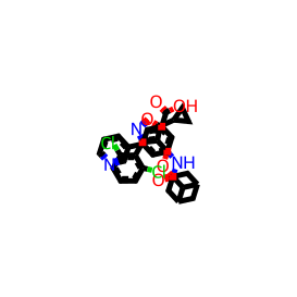 O=C(O)c1cc(NC(=O)C2C3CC(OCc4c(-c5c(Cl)cccc5Cl)noc4C4CC4)CC2C3)cc(-c2cccnc2)c1